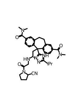 CC(C)c1nnc(C2(C[C@@H](C)NCC(=O)N3CCCC3C#N)c3ccc(C(=O)N(C)C)cc3CCc3cc(C(=O)N(C)C)ccc32)[nH]1